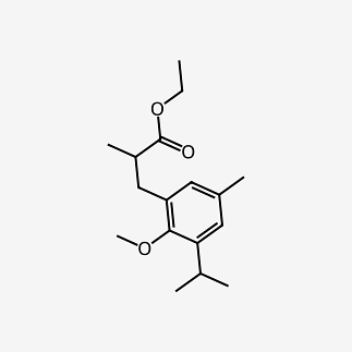 CCOC(=O)C(C)Cc1cc(C)cc(C(C)C)c1OC